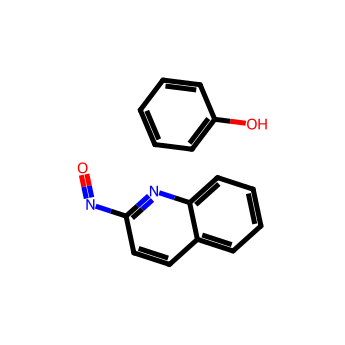 O=Nc1ccc2ccccc2n1.Oc1ccccc1